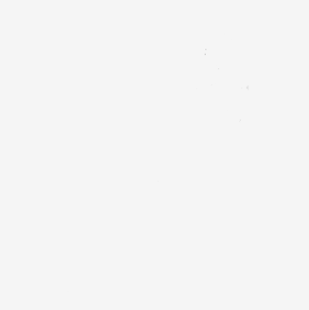 Cc1cc(-c2oc3ccc(CCCCCCCCCCCCCO)cc3c(=O)c2O)ccc1O